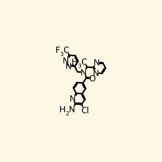 CC(c1ncccn1)N(Cc1ccc(C(F)(F)F)nn1)C(=O)c1ccc2nc(N)c(Cl)cc2c1